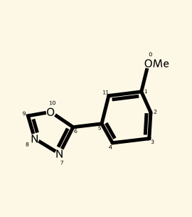 COc1cccc(-c2nnco2)c1